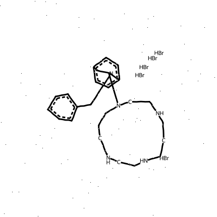 Br.Br.Br.Br.Br.c1ccc(CN2Cc3ccc(cc3)C2N2CCCNCCNCCCNCC2)cc1